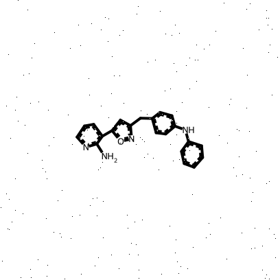 Nc1ncccc1-c1cc(Cc2ccc(Nc3ccccc3)cc2)no1